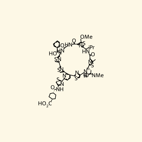 CNC(=O)C[C@@H]1NC(=O)c2csc(n2)-c2ccc(-c3nc(NC(=O)[C@H]4CC[C@H](C(=O)O)CC4)cs3)nc2-c2csc(n2)-c2csc(n2)[C@H]([C@@H](O)c2ccccc2)NC(=O)CNC(=O)c2nc(sc2COC)C(C(C)C)NC(=O)c2nc1sc2C